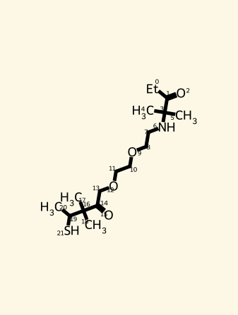 CCC(=O)C(C)(C)NCCOCCOCC(=O)C(C)(C)C(C)S